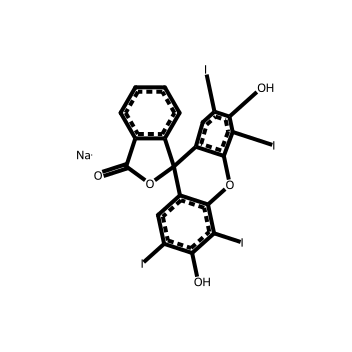 O=C1OC2(c3ccccc31)c1cc(I)c(O)c(I)c1Oc1c2cc(I)c(O)c1I.[Na]